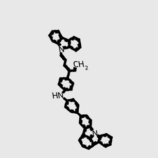 C=C/C(=C\C=C\n1c2ccccc2c2ccccc21)c1ccc(Nc2ccc(-c3ccc4c(c3)c3cccc5c6ccccc6n4c53)cc2)cc1